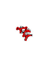 C=CC(=O)N1CCN(c2nc(OC[C@@H]3CC(c4cc(N5CCc6c(nc(OC[C@@H]7CCCN7C)nc6N6CCN(C(=O)/C=C/CN(C)C)[C@@H](CC#N)C6)C5)c5ccccc5c4)CN3C)nc3c2CCN(c2cc(C4C[C@@H](COc5nc6c(c(N7CCN(C(O)C=C)C(CC#N)C7)n5)CCN(c5cccc7ccccc57)C6)N(CC)C4)cc4ccccc24)C3)C[C@@H]1CC#N